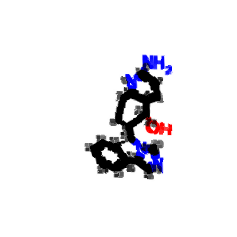 Nc1ccc2c(n1)CC[C@H]([C@H]1c3ccccc3-c3cncn31)[C@H]2O